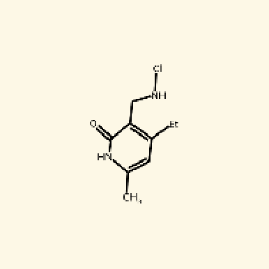 CCc1cc(C)[nH]c(=O)c1CNCl